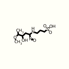 COC(C)C(O)CC(N=O)NCCCS(=O)(=O)O